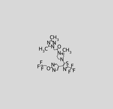 Cc1nc(C)n(CC(=O)N2CCN(c3sc(C(F)(F)F)nc3-c3cnc(OCC(F)(F)F)nc3)C[C@H]2C)n1